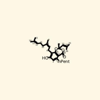 CCCCCc1cc(O)c(CC=C(C)CCC=C(C)C)c2c1C(=O)OC(C)(C=C(C)C)O2